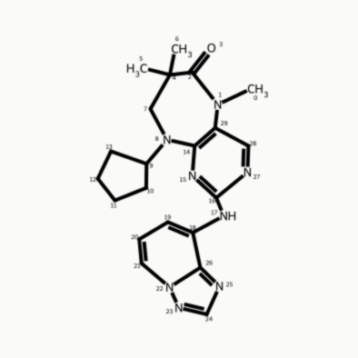 CN1C(=O)C(C)(C)CN(C2CCCC2)c2nc(Nc3cccn4ncnc34)ncc21